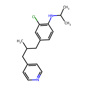 CC(Cc1ccncc1)Cc1ccc(NC(C)C)c(Cl)c1